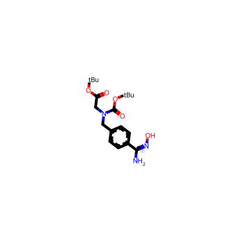 CC(C)(C)OC(=O)CN(Cc1ccc(/C(N)=N\O)cc1)C(=O)OC(C)(C)C